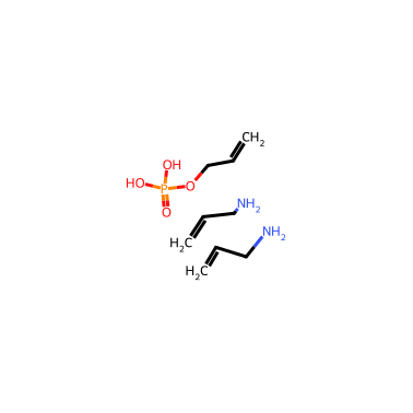 C=CCN.C=CCN.C=CCOP(=O)(O)O